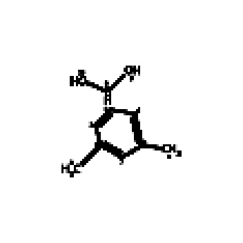 Cc1cccc(C)c1.OBO